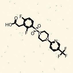 O=C(O)Cc1c(F)ccc(S(=O)(=O)N2CCN(c3ccc(C(F)(F)F)cn3)CC2)c1F